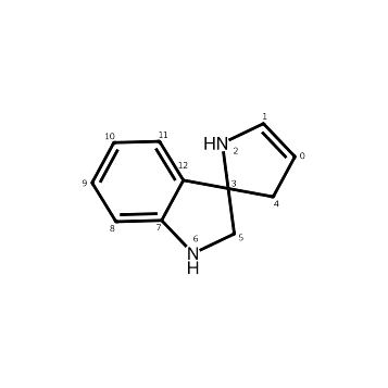 C1=CNC2(C1)CNc1ccccc12